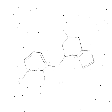 Cc1c(Cl)cccc1OC1CN(C)Cc2occc21.Cl